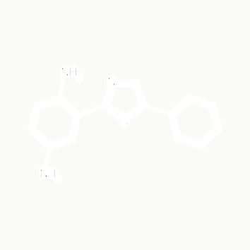 Nc1ccc(N)c(-c2ncc(-c3ccccc3)s2)c1